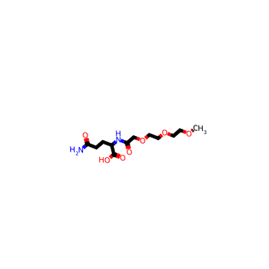 COCCOCCOCC(=O)NC(CCC(N)=O)C(=O)O